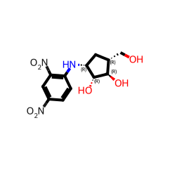 O=[N+]([O-])c1ccc(N[C@@H]2C[C@H](CO)[C@@H](O)[C@@H]2O)c([N+](=O)[O-])c1